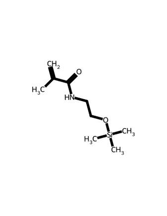 C=C(C)C(=O)NCCO[Si](C)(C)C